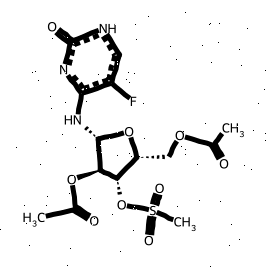 CC(=O)OC[C@H]1O[C@@H](Nc2nc(=O)[nH]cc2F)[C@H](OC(C)=O)[C@H]1OS(C)(=O)=O